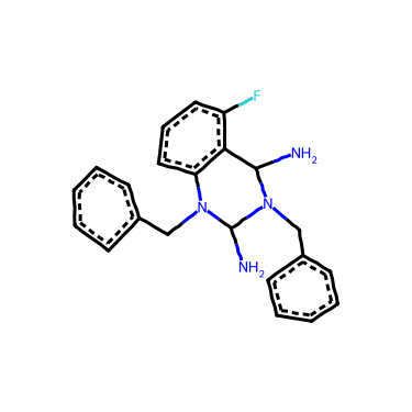 NC1c2c(F)cccc2N(Cc2ccccc2)C(N)N1Cc1ccccc1